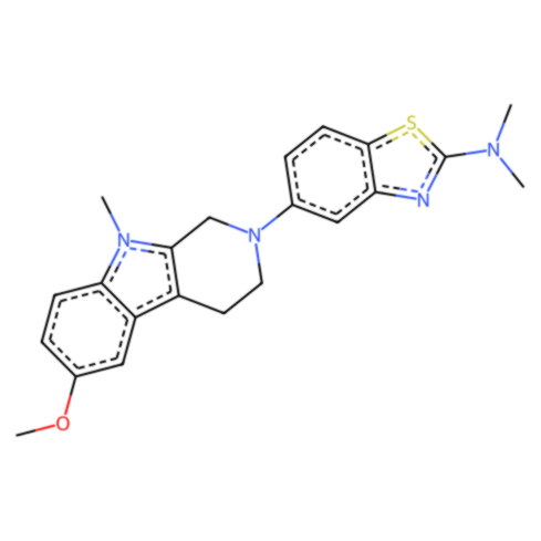 COc1ccc2c(c1)c1c(n2C)CN(c2ccc3sc(N(C)C)nc3c2)CC1